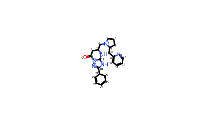 O=C1CC(CN2CCCC2Cc2ccccn2)NC2NC(C3C=CC=CC3)=NN12